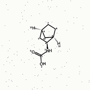 O=C(O)N[C@H]1C[C@H]2CC[C@@H]1C2